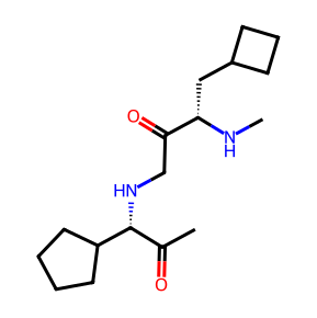 CN[C@@H](CC1CCC1)C(=O)CN[C@H](C(C)=O)C1CCCC1